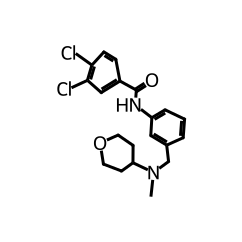 CN(Cc1cccc(NC(=O)c2ccc(Cl)c(Cl)c2)c1)C1CCOCC1